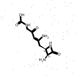 NC(=CC(=O)CNC(=O)O)C[C@H]1NC(=O)[C@H]1N